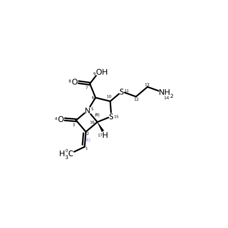 C/C=C1\C(=O)N2C(C(=O)O)C(SCCN)S[C@H]12